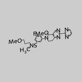 COCCCN(C)Sc1cc(F)cc(N2CCc3nc(-c4ncccn4)ncc3C2OC)c1